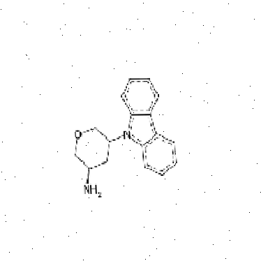 N[C@H]1COCC(n2c3ccccc3c3ccccc32)C1